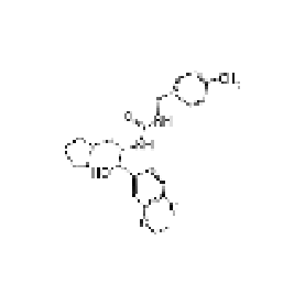 Cc1ccc(CNC(=O)NC(CN2CCCC2)C(O)c2ccc3c(c2)OCCO3)cc1